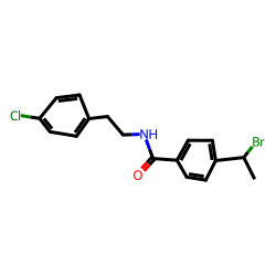 CC(Br)c1ccc(C(=O)NCCc2ccc(Cl)cc2)cc1